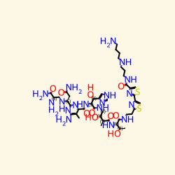 Cc1c(N)nc([C@H](CC(N)=O)NC[C@H](N)C(N)=O)nc1C(=O)N[C@H](C(=O)N[C@H](C)[C@@H](O)[C@H](C)C(=O)N[C@H](C(=O)NCCc1nc(-c2nc(C(=O)NCCCNCCCCN)cs2)cs1)[C@@H](C)O)[C@@H](O)c1c[nH]cn1